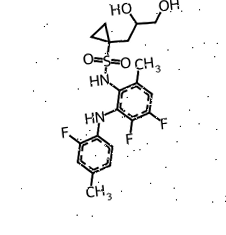 Cc1ccc(Nc2c(F)c(F)cc(C)c2NS(=O)(=O)C2(CC(O)CO)CC2)c(F)c1